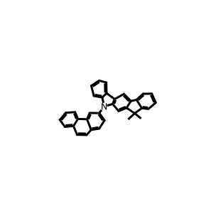 CC1(C)c2ccccc2-c2cc3c4ccccc4n(-c4ccc5ccc6ccccc6c5c4)c3cc21